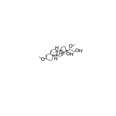 COC1=CC2=CC[C@@H]3[C@H](CC[C@@]4(C)[C@H]3CC[C@]4(O)C(CO)OC)[C@@]2(C)CC1